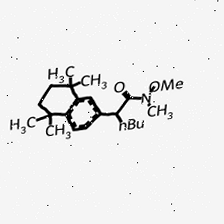 CCCCC(C(=O)N(C)OC)c1ccc2c(c1)C(C)(C)CCC2(C)C